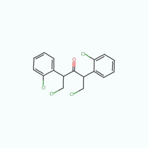 O=C(C(CCl)c1ccccc1Cl)C(CCl)c1ccccc1Cl